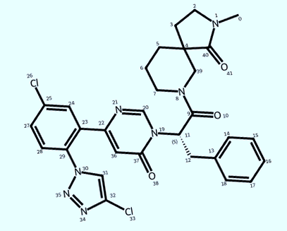 CN1CCC2(CCCN(C(=O)[C@H](Cc3ccccc3)n3cnc(-c4cc(Cl)ccc4-n4cc(Cl)nn4)cc3=O)C2)C1=O